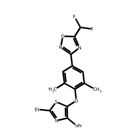 CCCc1nc(CC)sc1Oc1c(C)cc(-c2noc(C(F)F)n2)cc1C